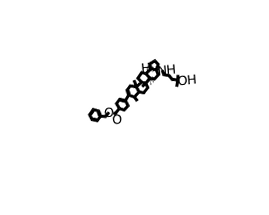 CC1C(C2=CCC(C(=O)OCc3ccccc3)CC2)=CCC2(C)C1CCC1(C)C2CCC2[C@H]3CCCC3(NCCCC(C)(C)O)CC[C@]21C